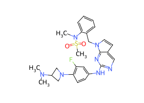 CN(C)C1CN(c2ccc(Nc3ncc4ccn(Cc5ccccc5N(C)S(C)(=O)=O)c4n3)cc2F)C1